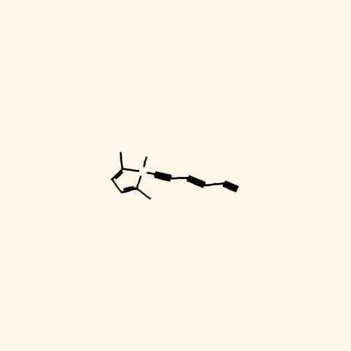 C#CC#CC#C[Si]1(C)C(C)=CC=C1C